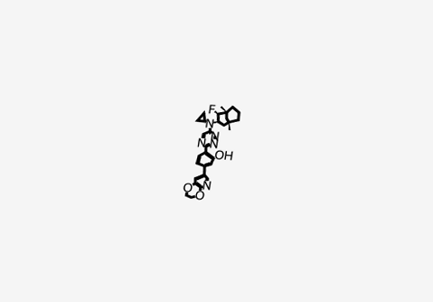 C[C@]12CCC[C@](C)(C1)[C@H](F)[C@H](N(c1cnc(-c3ccc(-c4cnc5c(c4)OCCO5)cc3O)nn1)C1CC1)C2